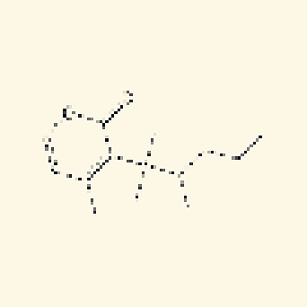 CCCC(C)C(C)(C)c1c(C)ccoc1=O